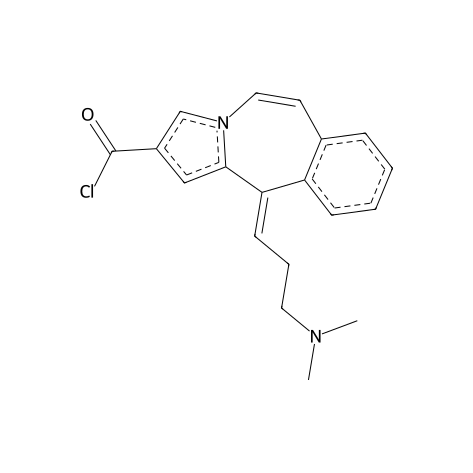 CN(C)CC/C=C1\c2ccccc2C=Cn2cc(C(=O)Cl)cc21